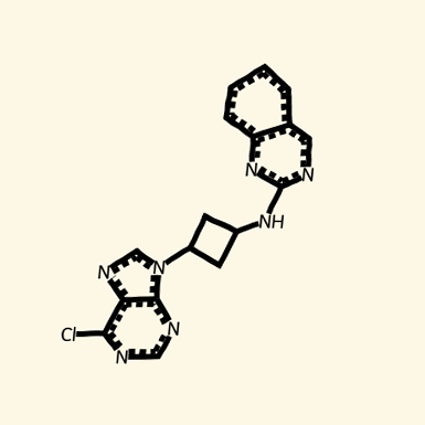 Clc1ncnc2c1ncn2C1CC(Nc2ncc3ccccc3n2)C1